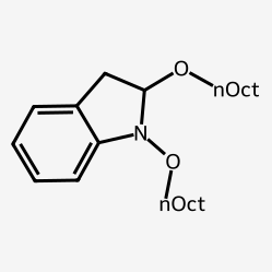 CCCCCCCCOC1Cc2ccccc2N1OCCCCCCCC